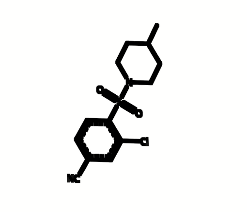 CC1CCN(S(=O)(=O)c2ccc(C#N)cc2Cl)CC1